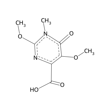 COc1c(C(=O)O)nc(OC)n(C)c1=O